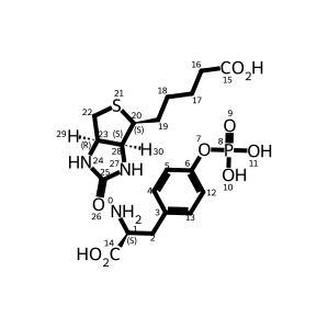 N[C@@H](Cc1ccc(OP(=O)(O)O)cc1)C(=O)O.O=C(O)CCCC[C@@H]1SC[C@@H]2NC(=O)N[C@@H]21